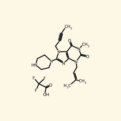 CC#CCn1c(N2CCNCC2)nc2c1c(=O)n(C)c(=O)n2CC=C(C)C.O=C(O)C(F)(F)F